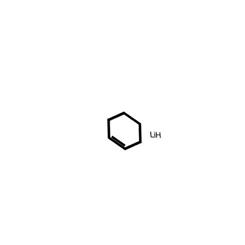 C1=CCCCC1.[LiH]